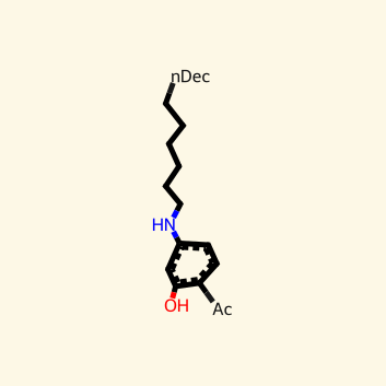 CCCCCCCCCCCCCCCCNc1ccc(C(C)=O)c(O)c1